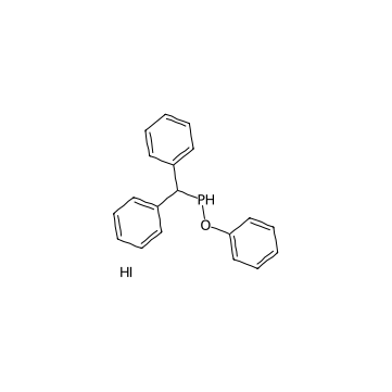 I.c1ccc(OPC(c2ccccc2)c2ccccc2)cc1